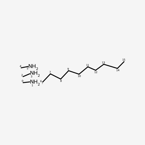 CN.CN.CN.[CH2]CCCCCCCCC